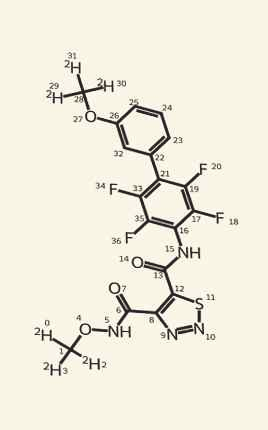 [2H]C([2H])([2H])ONC(=O)c1nnsc1C(=O)Nc1c(F)c(F)c(-c2cccc(OC([2H])([2H])[2H])c2)c(F)c1F